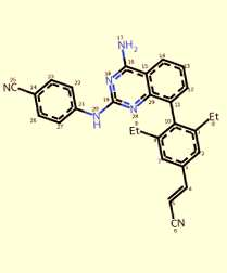 CCc1cc(C=CC#N)cc(CC)c1-c1cccc2c(N)nc(Nc3ccc(C#N)cc3)nc12